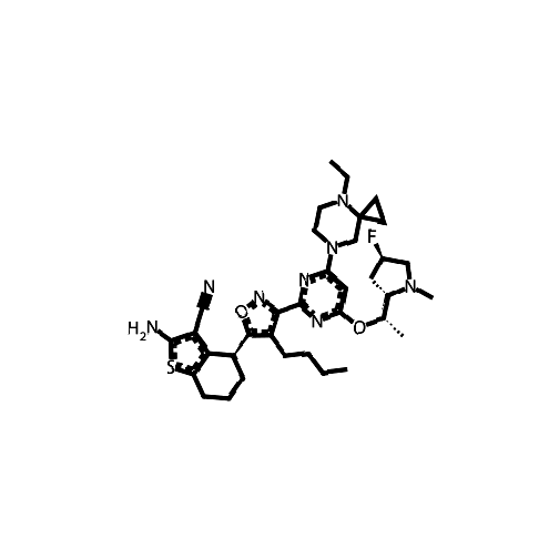 CCCCc1c(-c2nc(O[C@@H](C)[C@@H]3C[C@@H](F)CN3C)cc(N3CCN(CC)C4(CC4)C3)n2)noc1[C@H]1CCCc2sc(N)c(C#N)c21